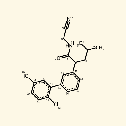 CC(C)CC(C(=O)NCC#N)c1cccc(-c2cc(O)ccc2Cl)c1